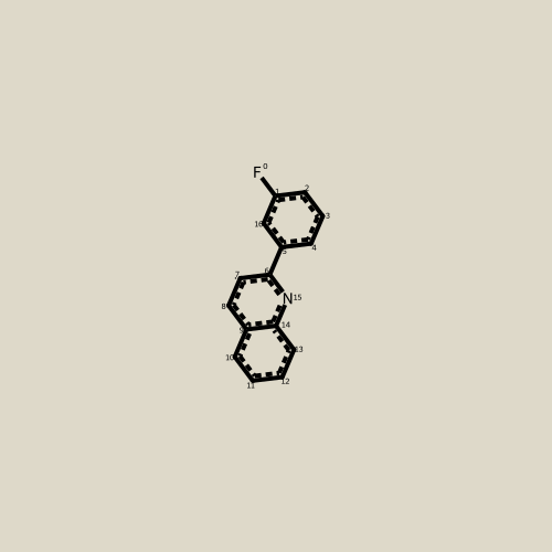 Fc1cccc(-c2[c]cc3ccccc3n2)c1